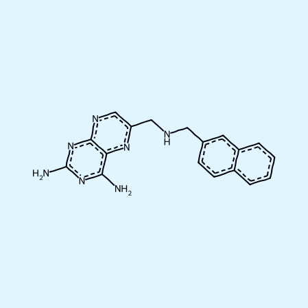 Nc1nc(N)c2nc(CNCc3ccc4ccccc4c3)cnc2n1